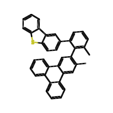 Cc1cc2c3ccccc3c3ccccc3c2cc1-c1c(C)cccc1-c1ccc2sc3ccccc3c2c1